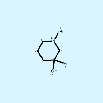 CCC1(O)CCCN(C(C)(C)C)C1